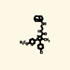 COc1ccc(-n2nc(C(=O)NCCNC3C4CC5CC(C4)CC3C5)c(C)c2-c2ccc(Cl)cc2)cn1